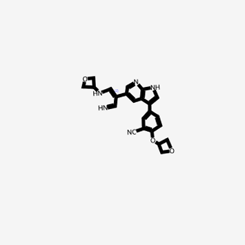 N#Cc1cc(-c2c[nH]c3ncc(/C(C=N)=C/NC4COC4)cc23)ccc1OC1COC1